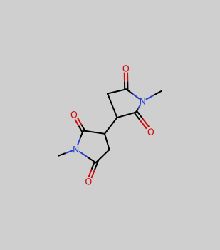 CN1C(=O)CC(C2CC(=O)N(C)C2=O)C1=O